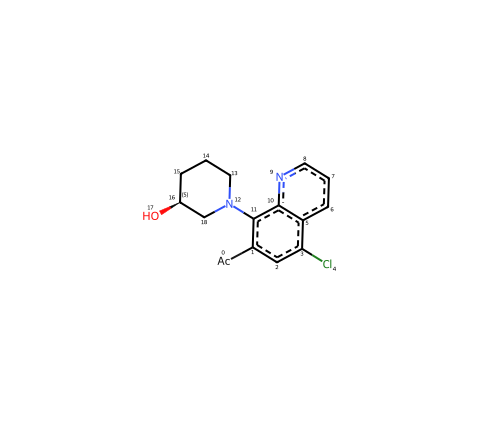 CC(=O)c1cc(Cl)c2cccnc2c1N1CCC[C@H](O)C1